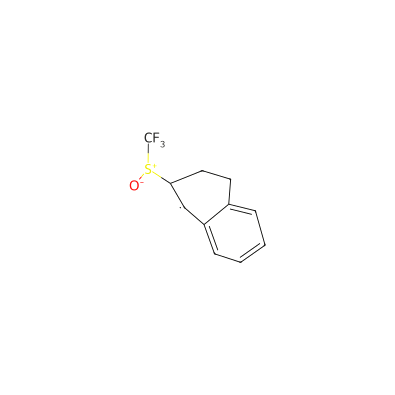 [O-][S+](C1[CH]c2ccccc2CC1)C(F)(F)F